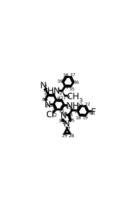 CC[C@@H](Nc1c(C#N)cnc2c(Cl)cc(NC(c3ccc(F)cc3)c3cn(C4CC4)cn3)cc12)c1ccccc1